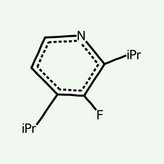 CC(C)c1ccnc(C(C)C)c1F